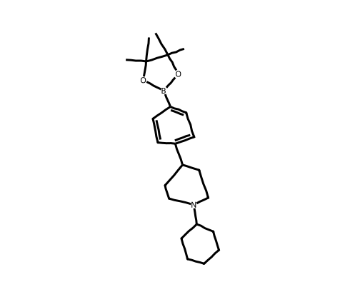 CC1(C)OB(c2ccc(C3CCN(C4CCCCC4)CC3)cc2)OC1(C)C